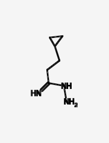 N=C(CCC1CC1)NN